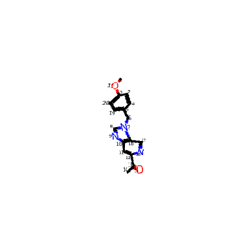 COc1ccc(Cn2cnc3cc(C(C)=O)ncc32)cc1